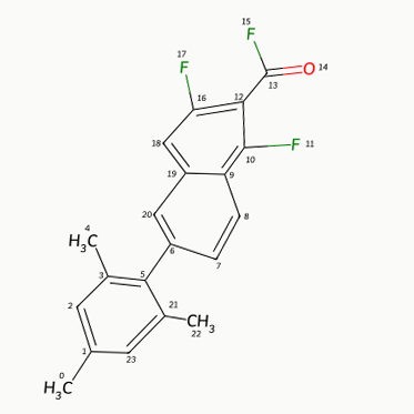 Cc1cc(C)c(-c2ccc3c(F)c(C(=O)F)c(F)cc3c2)c(C)c1